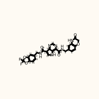 O=C1COc2ccc(CNC(=O)c3ncnc4c(C(=O)NCc5ccc6c(c5)OC(F)(F)O6)c[nH]c34)cc2N1